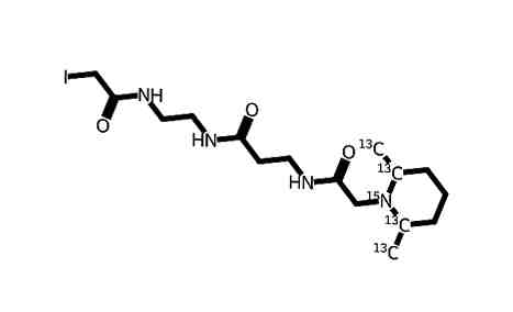 [13CH3][13CH]1CCC[13CH]([13CH3])[15N]1CC(=O)NCCC(=O)NCCNC(=O)CI